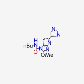 CCCCNC(=O)n1c(OC)nc2nc(-c3cncnc3)ccc21